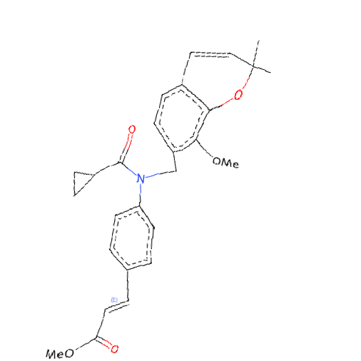 COC(=O)/C=C/c1ccc(N(Cc2ccc3c(c2OC)OC(C)(C)C=C3)C(=O)C2CC2)cc1